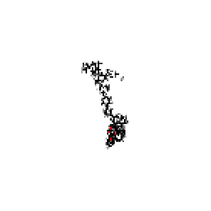 COc1cc(N2CCN([C@H]3CC[C@H](n4cc(-c5cn6ncc(C#N)c6c(-c6ccc(N7CC8CC(C7)N8Cc7ccccc7S(C)(=O)=O)nc6)n5)cn4)CC3)CC2)c(F)cc1NC1CCC(=O)NC1=O